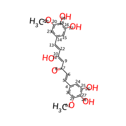 COc1cc(C=CC(=O)C=C(O)C=Cc2cc(O)c(O)c(OC)c2)cc(O)c1O